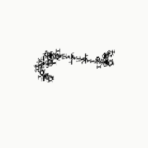 CC[C@H](NC(=O)[C@@H]1C[C@@H](NC(=O)CCCCCNC(=O)CCCCCCC(=O)NCCCCCC(=O)N[C@@H]2C[C@@H](C(=O)N[C@@H](CCNC(=O)[C@H](CC(C)C)N(C)C(=O)Cc3ccc(NC(=O)Nc4ccccc4C)cc3)C(=O)O)N(S(=O)(=O)c3ccccc3)C2)CN1S(=O)(=O)c1ccccc1)C(=O)O